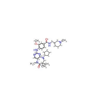 COc1cc(C(=O)NCC2CCCN(C)C2)ccc1Nc1ncc2c(n1)N(C1CCCC1)CC(C)(C)C(=O)N2C